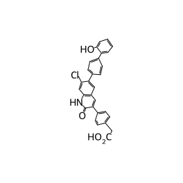 O=C(O)Cc1ccc(-c2cc3cc(-c4ccc(-c5ccccc5O)cc4)c(Cl)cc3[nH]c2=O)cc1